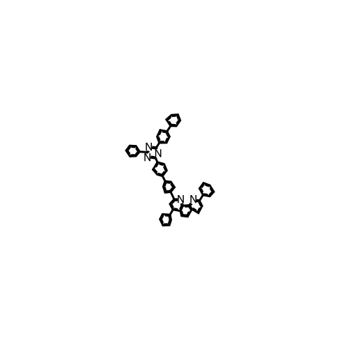 c1ccc(-c2ccc(-c3nc(-c4ccccc4)nc(-c4ccc(-c5ccc(-c6cc(-c7ccccc7)c7ccc8ccc(-c9ccccc9)nc8c7n6)cc5)cc4)n3)cc2)cc1